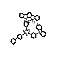 CC1(C)c2ccccc2-c2ccc3c4ccccc4n(-c4ccc(-c5nc(-c6ccc(-c7ccccc7)cc6)nc(-c6cccc(-n7c8ccccc8c8ccccc87)c6)n5)cc4)c3c21